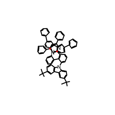 CC(C)(C)c1ccc2c(c1)c1cc(C(C)(C)C)ccc1n2-c1cccc(-c2nc(-c3ccccc3)cc(-c3ccccc3)n2)c1-c1ccccc1-n1c2ccc(-c3ccccc3)cc2c2cc(-c3ccccc3)ccc21